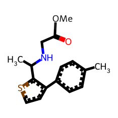 COC(=O)CNC(C)c1sccc1-c1ccc(C)cc1